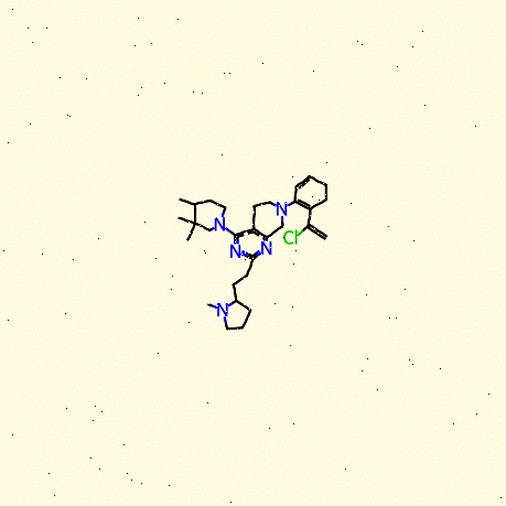 C=C(Cl)C1=C(N2CCc3c(nc(CCC4CCCN4C)nc3N3CCC(C)C(C)(C)C3)C2)C=CCC1